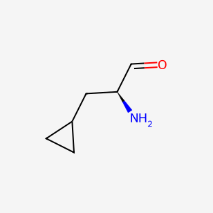 N[C@H](C=O)CC1CC1